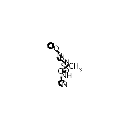 Cc1nc(-c2ccn(CCOc3ccccc3)n2)sc1OC(=O)NCc1cccnc1